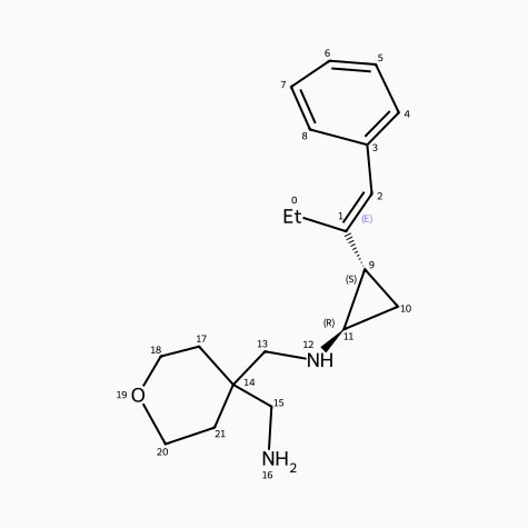 CC/C(=C\c1ccccc1)[C@@H]1C[C@H]1NCC1(CN)CCOCC1